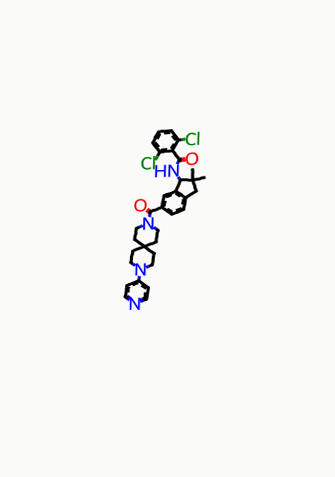 CC1(C)Cc2ccc(C(=O)N3CCC4(CC3)CCN(c3ccncc3)CC4)cc2C1NC(=O)c1c(Cl)cccc1Cl